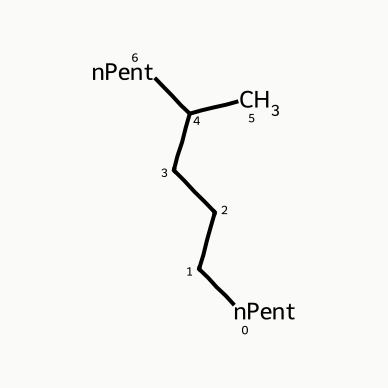 [CH2]CCCCCCCC(C)CCCCC